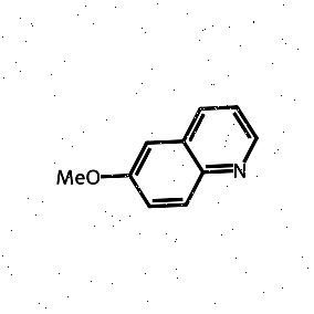 [CH2]Oc1ccc2ncccc2c1